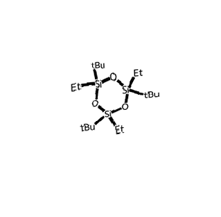 CC[Si]1(C(C)(C)C)O[Si](CC)(C(C)(C)C)O[Si](CC)(C(C)(C)C)O1